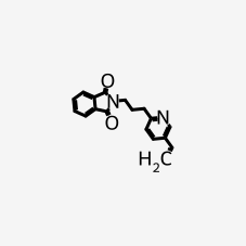 C=Cc1ccc(CCCN2C(=O)c3ccccc3C2=O)nc1